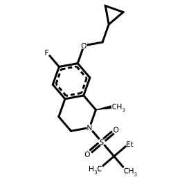 CCC(C)(C)S(=O)(=O)N1CCc2cc(F)c(OCC3CC3)cc2[C@H]1C